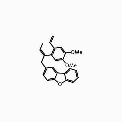 C=Cc1cc(OC)c(OC)cc1/C(=C\C)Cc1ccc2oc3ccccc3c2c1